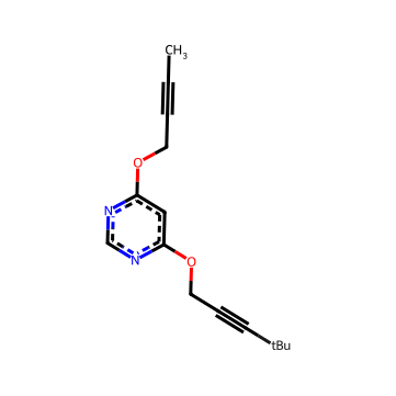 CC#CCOc1cc(OCC#CC(C)(C)C)ncn1